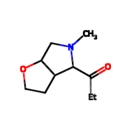 CCC(=O)C1C2CCOC2CN1C